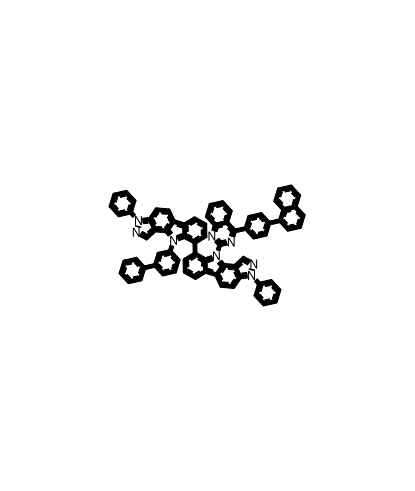 c1ccc(-c2cccc(-n3c4c(-c5cccc6c7ccc8c(cnn8-c8ccccc8)c7n(-c7nc(-c8ccc(-c9cccc%10ccccc9%10)cc8)c8ccccc8n7)c56)cccc4c4ccc5c(cnn5-c5ccccc5)c43)c2)cc1